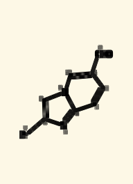 O=Cc1ccc2nc(Br)cn2c1